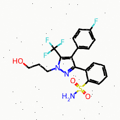 NS(=O)(=O)c1ccccc1-c1nn(CCCO)c(C(F)(F)F)c1-c1ccc(F)cc1